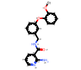 CCOc1ccccc1Oc1cccc(CNC(=O)c2cccnc2N)c1